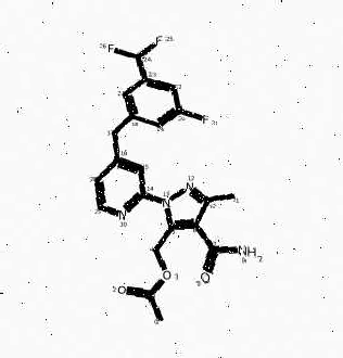 CC(=O)OCc1c(C(N)=O)c(C)nn1-c1cc(Cc2cc(F)cc(C(F)F)c2)ccn1